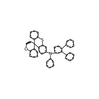 c1ccc(-c2ccc(N(c3ccccc3)c3ccc4c(c3)Sc3ccccc3C43c4ccccc4Oc4ccccc43)cc2-c2ccccc2)cc1